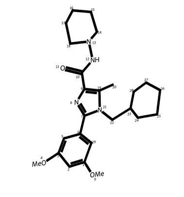 COc1cc(OC)cc(-c2nc(C(=O)NN3CCCCC3)c(C)n2CC2CCCCC2)c1